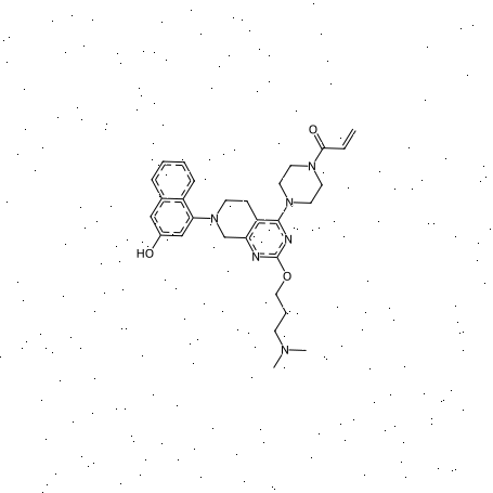 C=CC(=O)N1CCN(c2nc(OCCCN(C)C)nc3c2CCN(c2cc(O)cc4ccccc24)C3)CC1